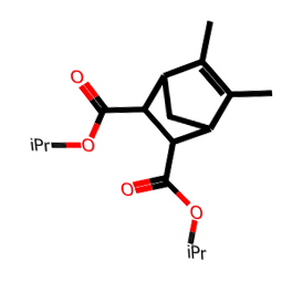 CC1=C(C)C2CC1C(C(=O)OC(C)C)C2C(=O)OC(C)C